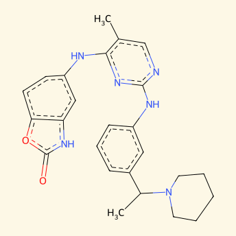 Cc1cnc(Nc2cccc(C(C)N3CCCCC3)c2)nc1Nc1ccc2oc(=O)[nH]c2c1